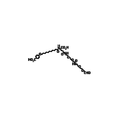 O=CCOCCOCCNC(=O)COCCOCCNC(=O)CC[C@H](NC(=O)CCCCCCCCCCOc1ccc(C(=O)O)cc1)C(=O)O